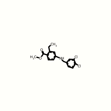 CCc1cc(NCc2ccc(Cl)c(Cl)c2)ccc1C(=O)OC